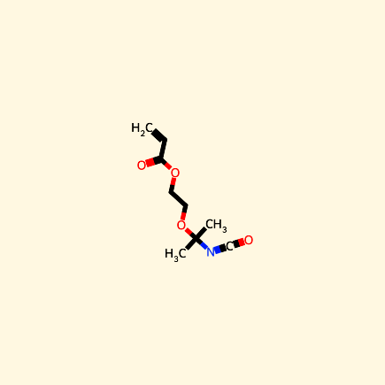 C=CC(=O)OCCOC(C)(C)N=C=O